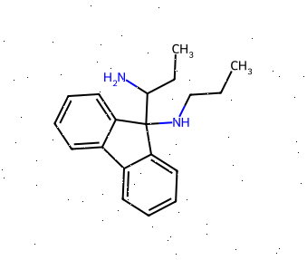 CCCNC1(C(N)CC)c2ccccc2-c2ccccc21